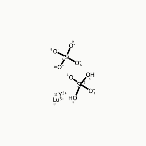 [Lu+3].[O-][Si]([O-])(O)O.[O-][Si]([O-])([O-])[O-].[Y+3]